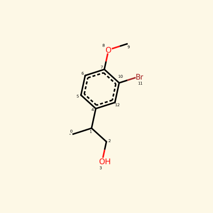 [CH2]C(CO)c1ccc(OC)c(Br)c1